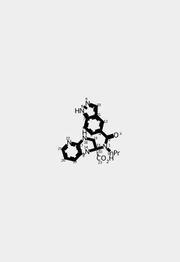 CCCN(C(=O)c1ccc2[nH]ncc2c1)[C@@](N)(CNc1ccccn1)C(=O)O